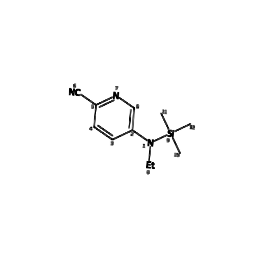 CCN(c1ccc(C#N)nc1)[Si](C)(C)C